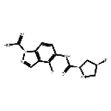 O=C(Nc1ccc2c(cnn2C(=O)O)c1F)[C@H]1C[C@@H](F)CN1